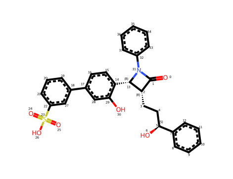 O=C1[C@H](CC[C@H](O)c2ccccc2)[C@H](c2ccc(-c3cccc(S(=O)(=O)O)c3)cc2O)N1c1ccccc1